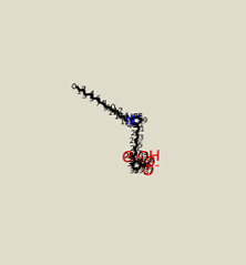 CCCCCCCCCCCCCCCC[n+]1cccc(CCCCCCCC(=O)c2cccc(C(=O)[O-])c2O)c1